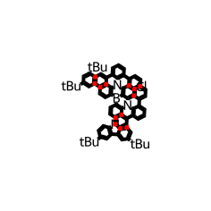 CC(C)(C)c1cc(-c2ccc3c(c2)N(c2c(-c4ccccc4)cccc2-c2ccccc2)c2cc(Cl)cc4c2B3c2ccc(-n3c5ccc(C(C)(C)C)cc5c5cc(C(C)(C)C)ccc53)cc2N4c2c(-c3ccccc3)cccc2-c2ccccc2)cc(C(C)(C)C)c1